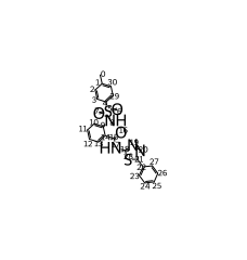 Cc1ccc(S(=O)(=O)Nc2ccccc2C(=O)Nc2nnc(-c3ccccc3)s2)cc1